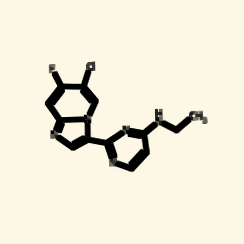 CCNc1ccnc(-c2cnc3cc(F)c(Cl)cn23)n1